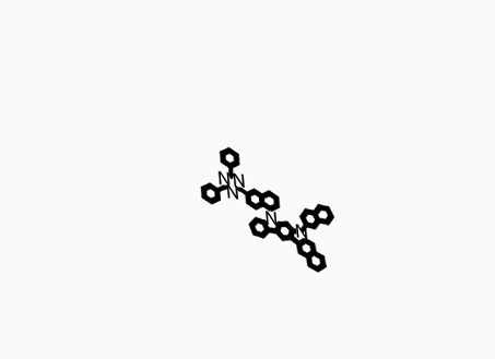 c1ccc(-c2nc(-c3ccccc3)nc(-c3ccc4c(-n5c6ccccc6c6cc7c8cc9ccccc9cc8n(-c8ccc9ccccc9c8)c7cc65)cccc4c3)n2)cc1